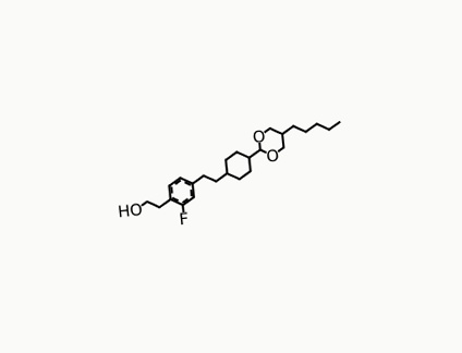 CCCCCC1COC(C2CCC(CCc3ccc(CCO)c(F)c3)CC2)OC1